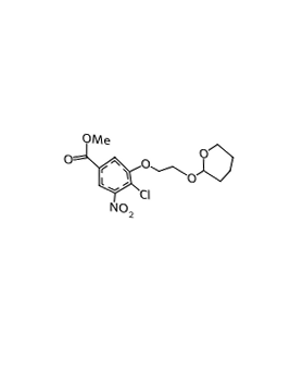 COC(=O)c1cc(OCCOC2CCCCO2)c(Cl)c([N+](=O)[O-])c1